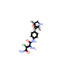 NC(=O)/C(Cl)=C(\N)C(=O)Nc1ccc([C@H]2O[C@@H]3CN[C@H]2C3)cc1